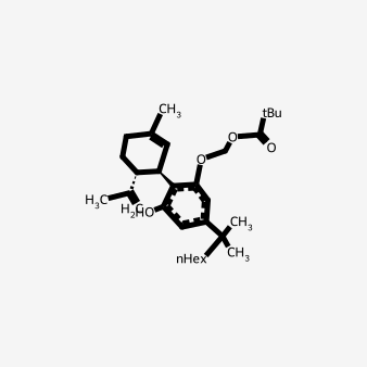 C=C(C)[C@@H]1CCC(C)=C[C@H]1c1c(O)cc(C(C)(C)CCCCCC)cc1OCOC(=O)C(C)(C)C